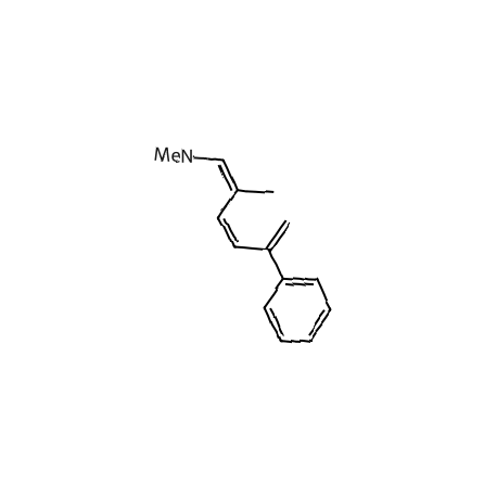 C=C(/C=C\C(C)=C/NC)c1ccccc1